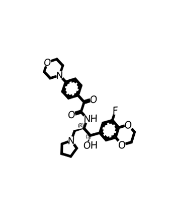 O=C(N[C@H](CN1CCCC1)[C@@H](O)c1cc(F)c2c(c1)OCCO2)C(=O)c1ccc(N2CCOCC2)cc1